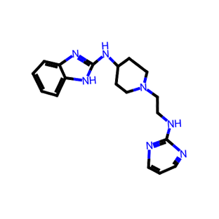 c1cnc(NCCN2CCC(Nc3nc4ccccc4[nH]3)CC2)nc1